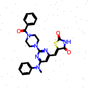 CN(c1ccccc1)c1cc(/C=C2\SC(=O)NC2=O)nc(N2CCN(C(=O)c3ccccc3)CC2)n1